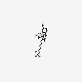 FCN(c1cc(F)ccc1F)C(F)(F)C(F)CCCCCCC(F)(F)F